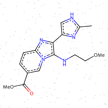 COCCNc1c(-c2c[nH]c(C)n2)nc2ccc(C(=O)OC)cn12